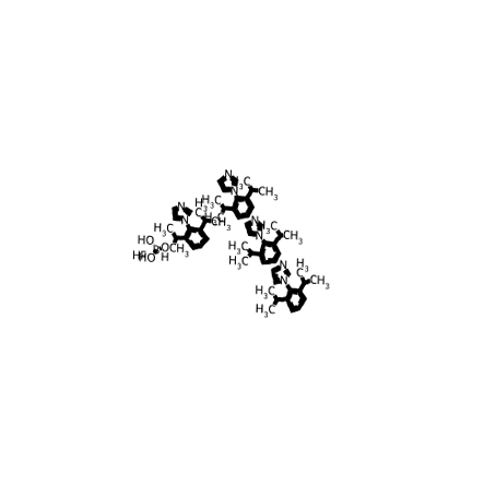 CC(C)c1cccc(C(C)C)c1-n1ccnc1.CC(C)c1cccc(C(C)C)c1-n1ccnc1.CC(C)c1cccc(C(C)C)c1-n1ccnc1.CC(C)c1cccc(C(C)C)c1-n1ccnc1.F.OB(O)O